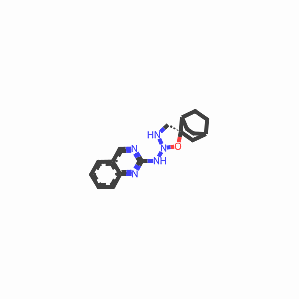 c1ccc2nc(NN3NC[C@]4(CC5CCC4CC5)O3)ncc2c1